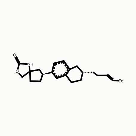 CC/C=C/CC[C@@H]1CCc2cc([C@H]3CCC4(COC(=O)N4)C3)ccc2C1